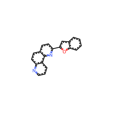 c1ccc2oc(-c3ccc4ccc5ncccc5c4n3)cc2c1